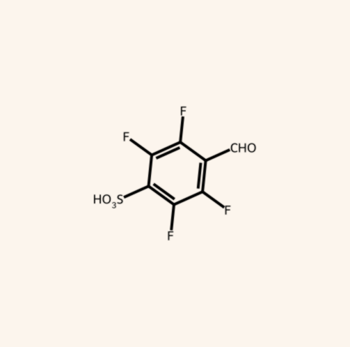 O=Cc1c(F)c(F)c(S(=O)(=O)O)c(F)c1F